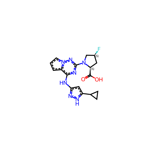 O=C(O)[C@@H]1C[C@H](F)CN1c1nc(Nc2cc(C3CC3)[nH]n2)c2cccn2n1